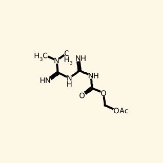 CC(=O)OCOC(=O)NC(=N)NC(=N)N(C)C